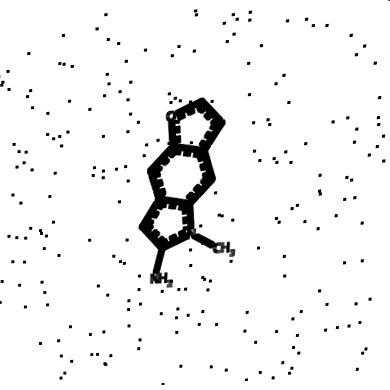 Cn1c(N)cc2cc3occc3cc21